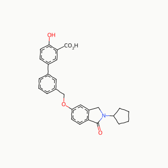 O=C(O)c1cc(-c2cccc(COc3ccc4c(c3)CN(C3CCCC3)C4=O)c2)ccc1O